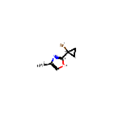 CCCc1coc(C2(Br)CC2)n1